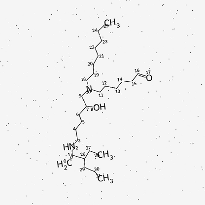 C=C(NCCCCC(O)CN(CCCCCC=O)CCCCCCCC)C(CC)CCC